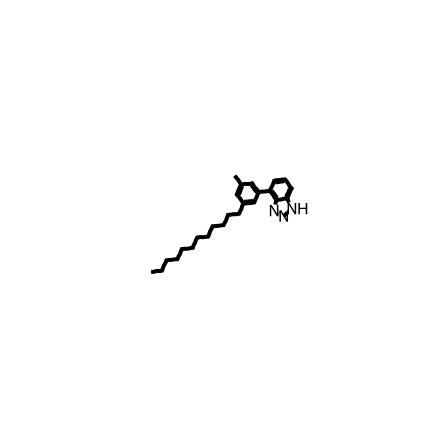 CCCCCCCCCCCCc1cc(C)cc(-c2cccc3[nH]nnc23)c1